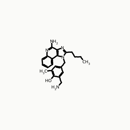 CCCCc1nc2c(N)nc3ccccc3c2n1Cc1cc(C)c(O)c(CN)c1